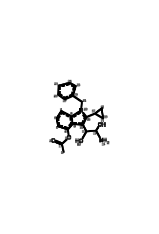 CC(=O)Oc1cccc2c1c(C(O)C(N)O)c(C1CC1)n2Cc1ccccc1